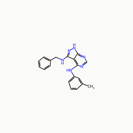 Cc1cccc(Nc2ncnc3[nH]nc(NCc4ccccc4)c23)c1